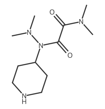 CN(C)C(=O)C(=O)N(C1CCNCC1)N(C)C